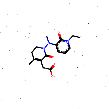 CCn1cccc(N(C)N2CCC(C)=C(CC(=O)O)C2=O)c1=O